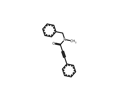 CN(Cc1ccccc1)C(=O)C#Cc1ccccc1